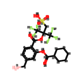 BCc1ccc(C(=O)OC(CS(=O)(=O)O)(C(F)(F)F)C(F)(F)F)c(OC(=O)C2CCCCC2)c1